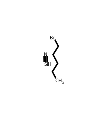 CCCCCBr.N#[SiH]